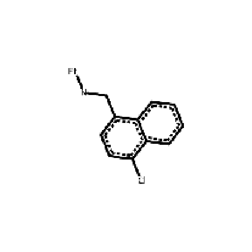 CC[N]Cc1ccc(Cl)c2ccccc12